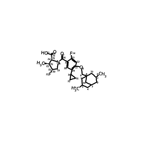 CC1CC2CC(C)CC(COc3cc(F)c(C(=O)N4C[C@@H](F)[C@@H](C)[C@H]4C(=O)O)cc3C3CC3)(C1)C2